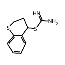 N=C(N)SC1CCSc2ccccc21